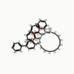 c1ccc(-c2ccc(P3CCCCCCCCCPP(c4ccccc4)P(c4ccccc4)P3c3ccccc3)cc2)cc1